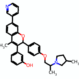 CC1=C(c2cccc(O)c2)C(c2ccc(OCC(C)N3CCC(C)C3)cc2)Oc2cc(-c3cccnc3)ccc21